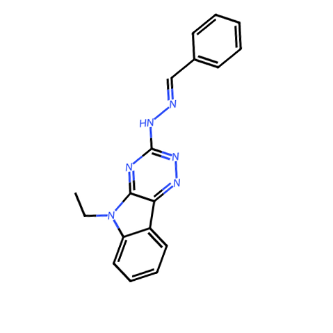 CCn1c2ccccc2c2nnc(N/N=C/c3ccccc3)nc21